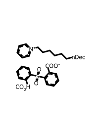 CCCCCCCCCCCCCCCC[n+]1ccccc1.O=C([O-])c1ccccc1S(=O)(=O)c1ccccc1C(=O)O